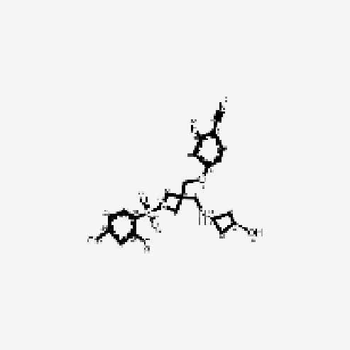 N#Cc1ccc(OCC2(CN[C@H]3C[C@H](O)C3)CN(S(=O)(=O)c3ccc(Cl)cc3Cl)C2)cc1F